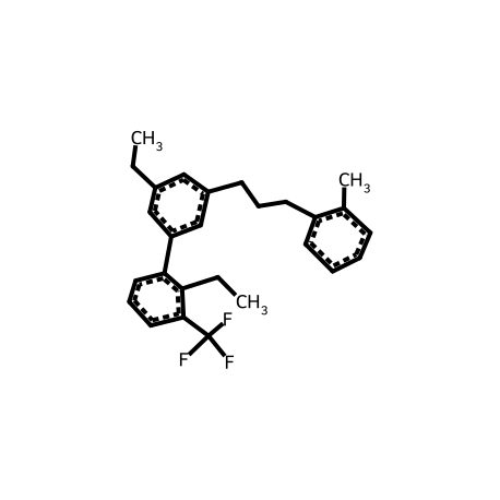 CCc1cc(CCCc2ccccc2C)cc(-c2cccc(C(F)(F)F)c2CC)c1